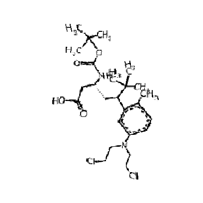 Cc1ccc(N(CCCl)CCCl)cc1C(C[C@H](CC(=O)O)NC(=O)OC(C)(C)C)C(C)(C)C